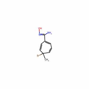 CC1(Br)C=CC=C(/C(N)=N/O)C=C1